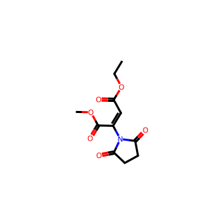 CCOC(=O)C=C(C(=O)OC)N1C(=O)CCC1=O